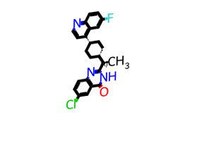 C[C@@H](c1nc2ccc(Cl)cc2c(=O)[nH]1)[C@H]1CC[C@@H](c2ccnc3ccc(F)cc32)CC1